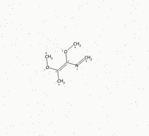 C=N/C(OC)=C(\C)OC